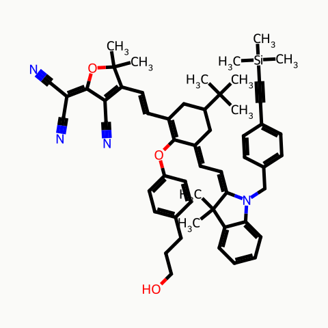 CC1(C)OC(=C(C#N)C#N)C(C#N)=C1C=CC1=C(Oc2ccc(CCCO)cc2)C(=CC=C2N(Cc3ccc(C#C[Si](C)(C)C)cc3)c3ccccc3C2(C)C)CC(C(C)(C)C)C1